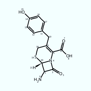 NC1C(=O)N2C(C(=O)O)=C(Cc3ccc(O)cc3)CS[C@@H]12